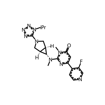 CC(C)n1nnnc1N1C[C@@H]2[C@H](C1)[C@H]2N(C)c1nc(-c2ccncc2F)cc(=O)n1C